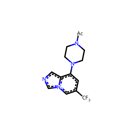 CC(=O)N1CCN(c2cc(C(F)(F)F)cn3cncc23)CC1